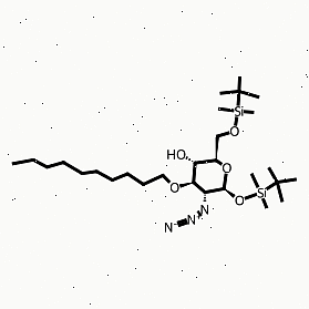 CCCCCCCCCCO[C@H]1[C@H](O)[C@@H](CO[Si](C)(C)C(C)(C)C)O[C@@H](O[Si](C)(C)C(C)(C)C)[C@@H]1N=[N+]=[N-]